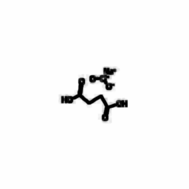 O=C(O)CCC(=O)O.[Na+].[O-][Cl+][O-]